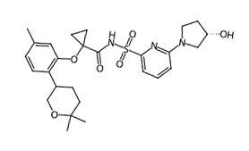 Cc1ccc(C2CCC(C)(C)OC2)c(OC2(C(=O)NS(=O)(=O)c3cccc(N4CC[C@H](O)C4)n3)CC2)c1